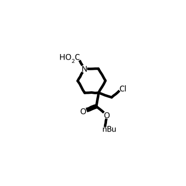 CCCCOC(=O)C1(CCl)CCN(C(=O)O)CC1